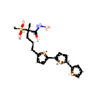 CC(CCCc1ccc(-c2ccc(-c3cccs3)s2)s1)(C(=O)NO)S(C)(=O)=O